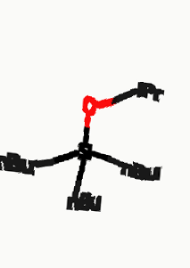 CCCC[Si](CCCC)(CCCC)OC(C)C